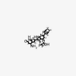 Nc1cc(=O)[nH]c2sc(-c3nc4ccc(C5CC6CCC(C5)N6)nc4[nH]3)cc12.O=C(O)C(F)(F)F